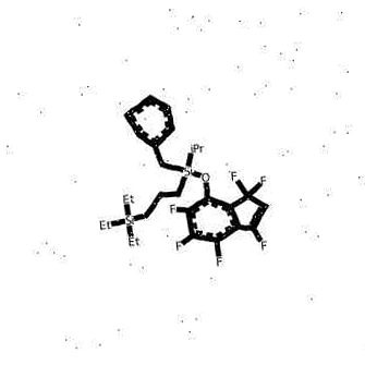 CC[Si](CC)(CC)CCC[Si](Cc1ccccc1)(Oc1c(F)c(F)c(F)c2c1C(F)(F)[C]=C2F)C(C)C